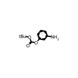 CC(C)(C)OC(=O)Oc1cccc(N)c1